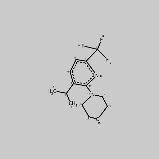 CC(C)c1ccc(C(F)(F)F)nc1N1CCOCC1